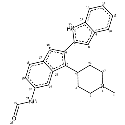 CN1CCC(c2c(-c3cc4ccccc4[nH]3)sc3ccc(NC=O)cc23)CC1